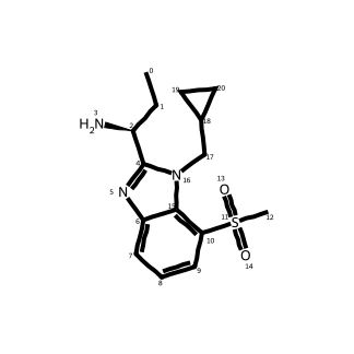 CC[C@H](N)c1nc2cccc(S(C)(=O)=O)c2n1CC1CC1